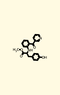 COC(=O)C(Cc1ccc(O)cc1)Nc1ccccc1C(=O)c1cccnc1